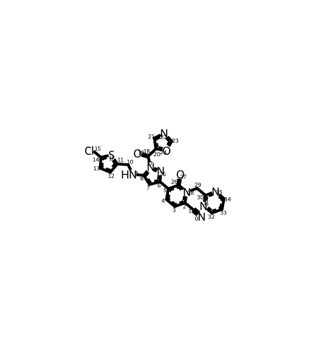 N#Cc1ccc(-c2cc(NCc3ccc(Cl)s3)n(C(=O)c3cnco3)n2)c(=O)n1Cc1ncccn1